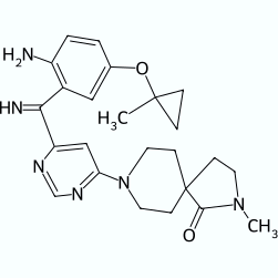 CN1CCC2(CCN(c3cc(C(=N)c4cc(OC5(C)CC5)ccc4N)ncn3)CC2)C1=O